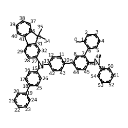 Cc1ccccc1-c1cc(-c2ccc(N(c3ccc(-c4ccccc4)cc3)c3ccc4c(c3)C(C)(C)c3ccccc3-4)cc2)ccc1N(C)c1ccccc1